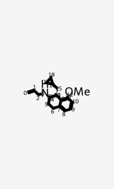 C=CCN[C@@H]1CCc2cccc(OC)c2[C@H]1CC1CC1